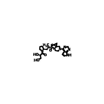 CN(CC1CCCN1C(=O)[C@H](O)CO)S(=O)(=O)N1CCN(c2ncnc3[nH]ccc23)CC12CC2